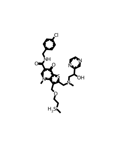 C[SiH2]CCOCc1c(CN(C)CC(O)c2cnccn2)sc2c(=O)c(C(=O)NCc3ccc(Cl)cc3)cn(C)c12